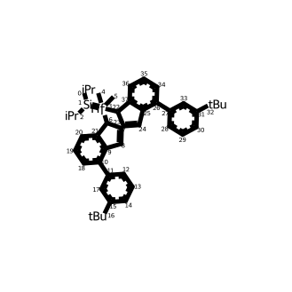 CC(C)[Si](C(C)C)=[Hf]([CH3])([CH3])([CH]1C=Cc2c(-c3cccc(C(C)(C)C)c3)cccc21)[CH]1C=Cc2c(-c3cccc(C(C)(C)C)c3)cccc21